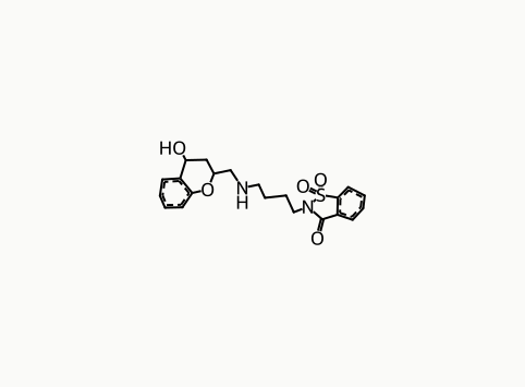 O=C1c2ccccc2S(=O)(=O)N1CCCCNCC1CC(O)c2ccccc2O1